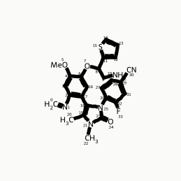 C=Nc1cc(OC)c(OC(CN)c2cccs2)cc1-c1c(C)n(C)c(=O)n1-c1ccc(C#N)cc1F